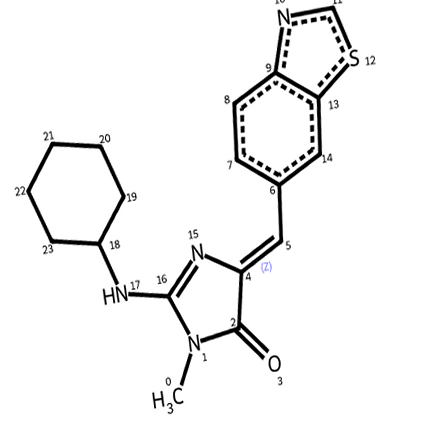 CN1C(=O)/C(=C/c2ccc3ncsc3c2)N=C1NC1CCCCC1